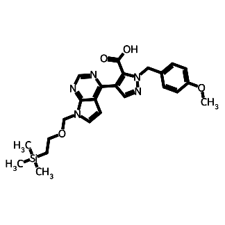 COc1ccc(Cn2ncc(-c3ncnc4c3ccn4COCC[Si](C)(C)C)c2C(=O)O)cc1